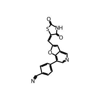 N#Cc1ccc(-c2cncc3cc(/C=C4/SC(=O)NC4=O)oc23)cc1